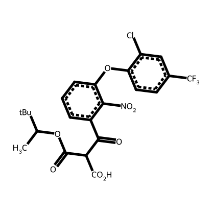 CC(OC(=O)C(C(=O)O)C(=O)c1cccc(Oc2ccc(C(F)(F)F)cc2Cl)c1[N+](=O)[O-])C(C)(C)C